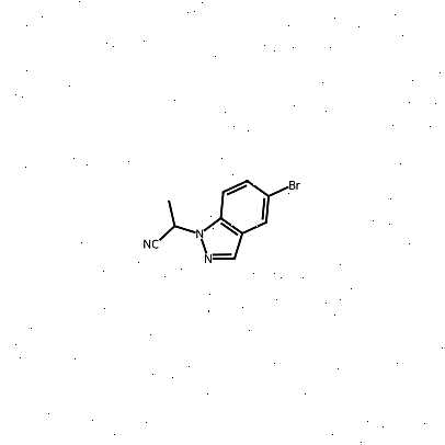 CC(C#N)n1ncc2cc(Br)ccc21